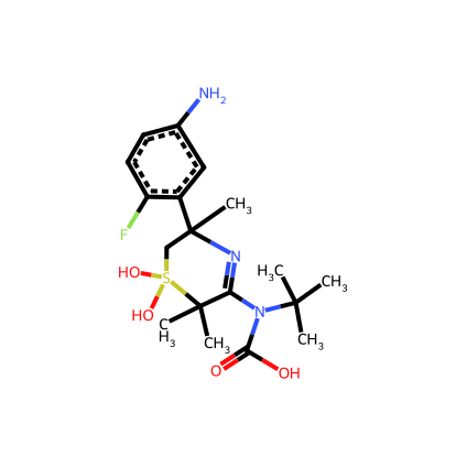 CC1(c2cc(N)ccc2F)CS(O)(O)C(C)(C)C(N(C(=O)O)C(C)(C)C)=N1